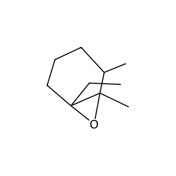 CCC12CCCC(C)C1(C)O2